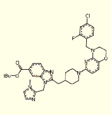 Cn1ccnc1Cn1c(CC2CCN(c3ccc4c(n3)N(Cc3ccc(Cl)cc3F)CCO4)CC2)nc2ccc(C(=O)OC(C)(C)C)cc21